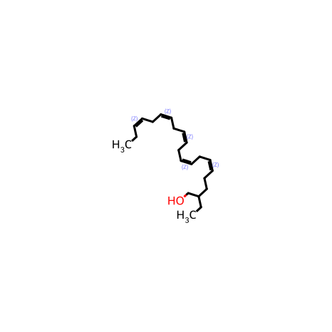 CC/C=C\C/C=C\C/C=C\C/C=C\C/C=C\CCC(CC)CO